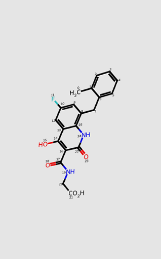 Cc1ccccc1Cc1cc(F)cc2c(O)c(C(=O)NCC(=O)O)c(=O)[nH]c12